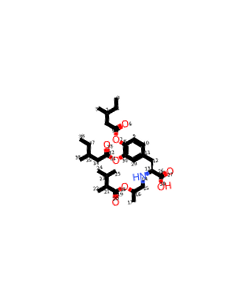 CCC(C)CC(=O)Oc1ccc(C[C@H](NCC(C)OC(=O)C(C)C(C)C)C(=O)O)cc1OC(=O)CC(C)CC